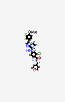 COc1ccc(-c2cnc3c(Nc4ccc(C(=O)NCC5CCOCC5)c(Cl)c4)nccn23)c(F)c1F